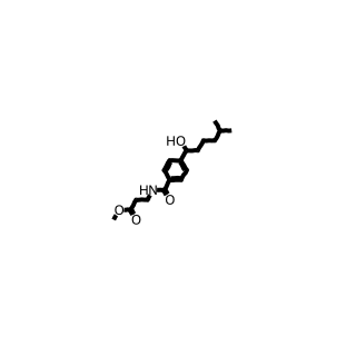 COC(=O)CCNC(=O)c1ccc(C(O)CCCC(C)C)cc1